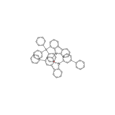 c1ccc(-c2cccc(-n3c4ccccc4c4cc(-c5ccccc5)cc(-n5c6ccccc6c6cccc([Si](c7ccccc7)(c7ccccc7)c7ccccc7)c65)c43)c2)cc1